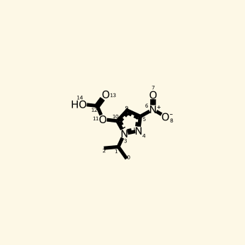 CC(C)n1nc([N+](=O)[O-])cc1OC(=O)O